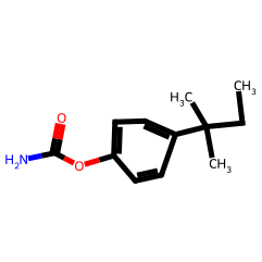 CCC(C)(C)c1ccc(OC(N)=O)cc1